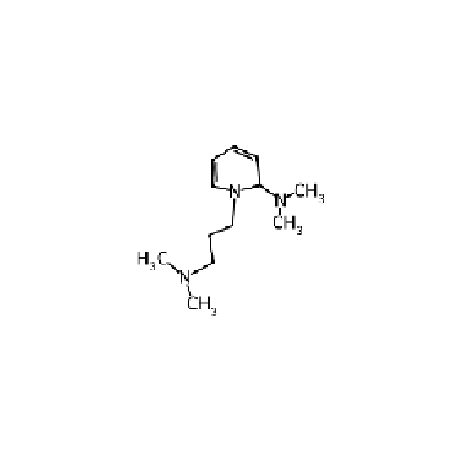 CN(C)CCCN1C=CC=CC1N(C)C